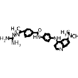 CC(=NN=C(N)N)c1ccc(C(=O)Nc2ccc(Nc3ccnc4ccc(N(C)C)cc34)cc2)cc1